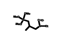 CCN([C]=O)CC(C)C[Si](OC)(OC)OC